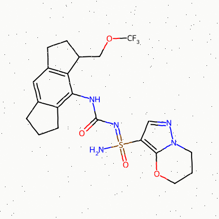 NS(=O)(=NC(=O)Nc1c2c(cc3c1C(COC(F)(F)F)CC3)CCC2)c1cnn2c1OCCC2